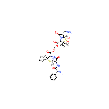 CC1(C)S[C@@H]2C(NC(=O)C(N)c3ccccc3)C(=O)N2[C@H]1C(=O)OCOC(=O)[C@@H]1N2C(=O)[C@H](CN)[C@H]2S(=O)(=O)C1(C)C